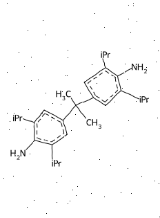 CC(C)c1cc(C(C)(C)c2cc(C(C)C)c(N)c(C(C)C)c2)cc(C(C)C)c1N